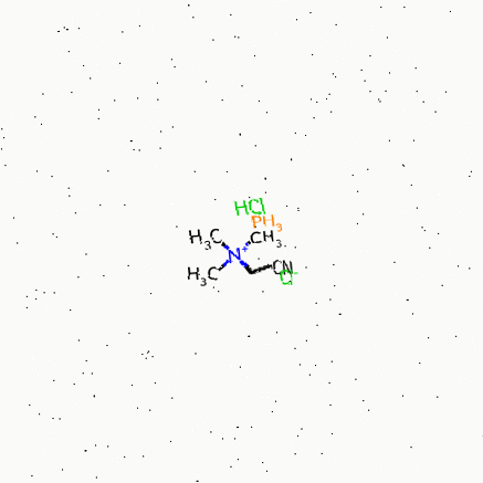 C[N+](C)(C)CC#N.Cl.P.[Cl-]